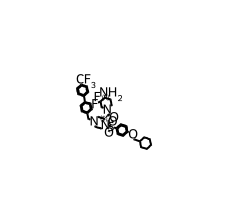 N[C@@H]1CCN(C(=O)[C@@H]2CN(Cc3ccc(-c4ccc(C(F)(F)F)cc4)cc3)CCN2S(=O)(=O)c2ccc(OCC3CCCCC3)cc2)CC1(F)F